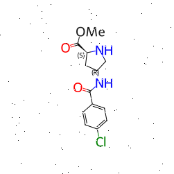 COC(=O)[C@@H]1C[C@@H](NC(=O)c2ccc(Cl)cc2)CN1